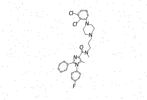 Cc1c(C(=O)N(C)CCCN2CCN(c3cccc(Cl)c3Cl)CC2)nc(-c2ccccc2)n1-c1ccc(F)cc1